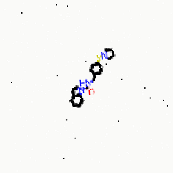 O=C(NCc1ccc(SN2CCCC2)cc1)n1ccc2ccccc21